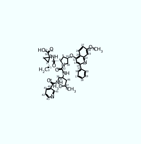 C=C[C@@H]1C[C@]1(NC(=O)[C@@H]1C[C@@H](Oc2cc(-c3ccccc3)nc3cc(OC)ccc23)CN1C(=O)NC(CNC(=O)c1cccnc1)CC(C)C)C(=O)O